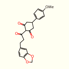 COc1ccc(C2CC(=O)C(C(=O)CCc3ccc4c(c3)OCO4)C(=O)C2)cc1